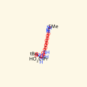 CSc1ncc(-c2cn(CCOCCOCCOCCOCCOCCOCCOCCOCCNC(=O)COCC(=O)N[C@H](C(=O)N[C@@H](CCCCNC(=O)OC(C)(C)C)C(=O)O)C(C)C)nn2)cn1